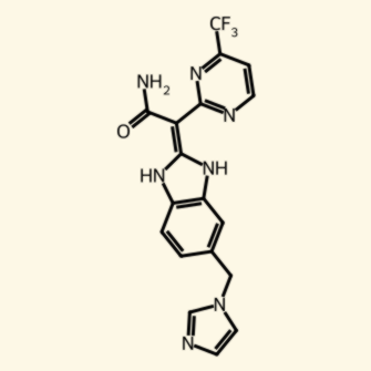 NC(=O)/C(=C1\Nc2ccc(Cn3ccnc3)cc2N1)c1nccc(C(F)(F)F)n1